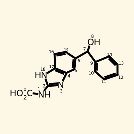 O=C(O)Nc1nc2cc(C(O)c3ccccc3)ccc2[nH]1